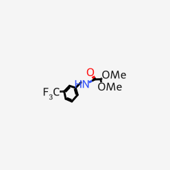 COC(OC)C(=O)NCc1cccc(C(F)(F)F)c1